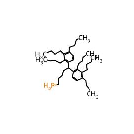 CCCCc1ccc(C(CCCCP)c2ccc(CCCC)c(CCCC)c2CCCC)c(CCCC)c1CCCC